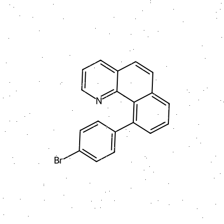 Brc1ccc(-c2cccc3ccc4cccnc4c23)cc1